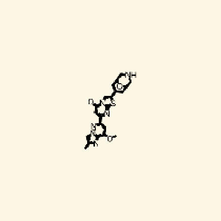 COc1cc(-c2cc(=O)n3cc(C4CC5CNCC(C4)O5)sc3n2)nn2cc(C)nc12